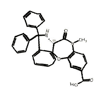 CN1C(=O)[C@@H](NC(c2ccccc2)(c2ccccc2)c2ccccc2)COc2cc(C(=O)O)ccc21